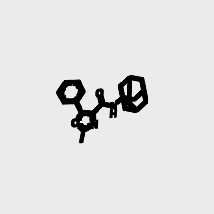 Cc1nc(C(=O)NC23CC4CC(CC(C4)C2)C3)c(-c2ccccc2)o1